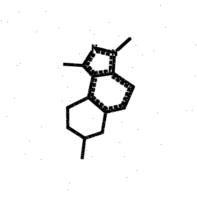 Cc1nn(C)c2ccc3c(c12)CCC(C)C3